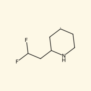 FC(F)CC1C[CH]CCN1